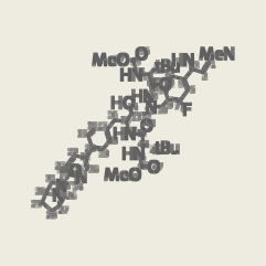 CN/C=C\C(=N)c1cc(F)c(CN(C[C@H](O)[C@H](Cc2ccc(-c3ccc(N4CC5CCC(C4)N5C4COC4)nc3)cc2)NC(=O)[C@@H](NC(=O)OC)C(C)(C)C)NC(=O)[C@@H](NC(=O)OC)C(C)(C)C)c(F)c1